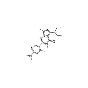 CCC(CC)c1cc(C)n2nc(-c3cnc(N(C)C)cc3C)n(C)c(=O)c12